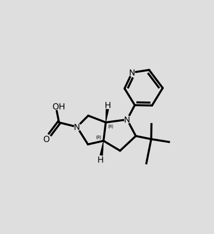 CC(C)(C)C1C[C@@H]2CN(C(=O)O)C[C@@H]2N1c1cccnc1